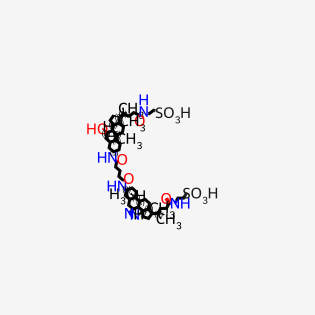 C[C@H](CCC(=O)NCCS(=O)(=O)O)C1CC[C@@H]2C3[C@@H](CC[C@]12C)[C@@]1(C)CC[C@@H](NC(=O)CCCC(=O)N[C@H]2CC[C@]4(C)C(C2)C[C@@H](O)C2[C@@H]5CC[C@@H]([C@@H](C)CCC(=O)NCCS(=O)(=O)O)[C@]5(C)CC[C@@H]24)CC1CC31N=N1